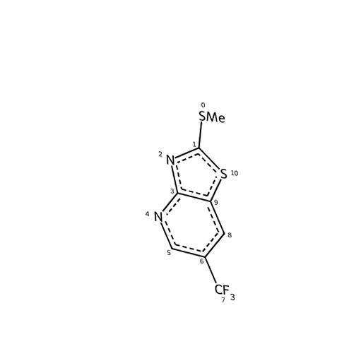 CSc1nc2ncc(C(F)(F)F)cc2s1